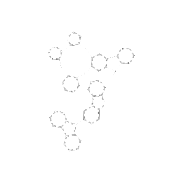 CC1(C)c2ccccc2-c2cc3c(cc21)N(c1ccc2sc4ccc(-n5c6ccccc6c6ccccc65)cc4c2c1)c1ccccc1Cc1ccsc1-c1sccc1C3